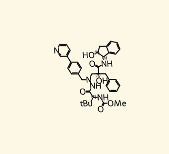 COC(=O)N[C@H](C(=O)NN(Cc1ccc(-c2cccnc2)cc1)C[C@](O)(Cc1ccccc1)C(=O)N[C@H]1c2ccccc2C[C@H]1O)C(C)(C)C